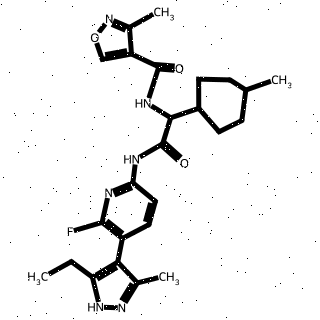 CCc1[nH]nc(C)c1-c1ccc(NC(=O)C(NC(=O)c2conc2C)C2CCC(C)CC2)nc1F